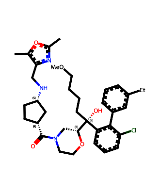 CCc1cccc(-c2c(Cl)cccc2[C@](O)(CCCCOC)[C@H]2CN(C(=O)[C@@H]3CC[C@H](NCc4nc(C)oc4C)C3)CCO2)c1